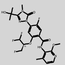 COc1nccc(C)c1NC(=O)c1cc(F)c(-n2nc(C(C)(C)O)n(C)c2=O)cc1O[C@@H](CF)C(F)F